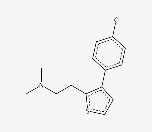 CN(C)CCc1sccc1-c1ccc(Cl)cc1